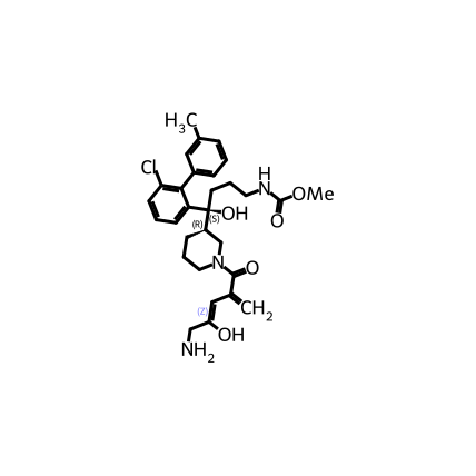 C=C(/C=C(\O)CN)C(=O)N1CCC[C@@H]([C@@](O)(CCCNC(=O)OC)c2cccc(Cl)c2-c2cccc(C)c2)C1